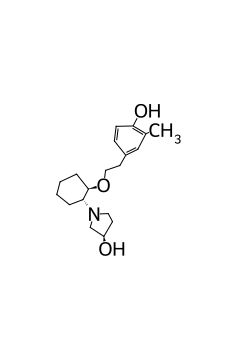 Cc1cc(CCO[C@@H]2CCCC[C@H]2N2CC[C@@H](O)C2)ccc1O